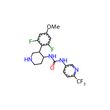 COc1cc(F)c(C2CNCCC2NC(=O)Nc2ccc(C(F)(F)F)nc2)c(F)c1